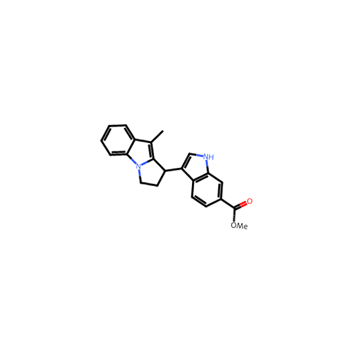 COC(=O)c1ccc2c(C3CCn4c3c(C)c3ccccc34)c[nH]c2c1